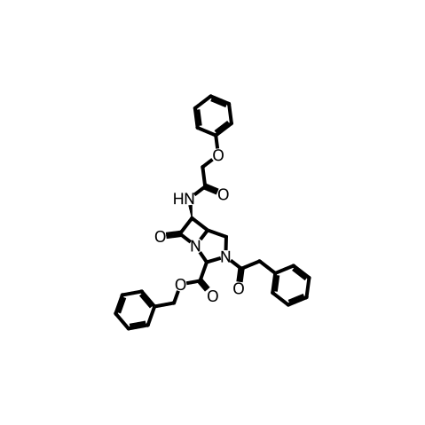 O=C(COc1ccccc1)N[C@@H]1C(=O)N2C1CN(C(=O)Cc1ccccc1)C2C(=O)OCc1ccccc1